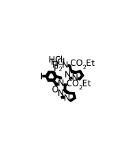 CCOC(=O)C(N)c1ncn2c1CCC2.CCOC(=O)C(c1ncn2c1CCC2)N1Cc2c(F)cc(I)cc2C1=O.Cl.Cl